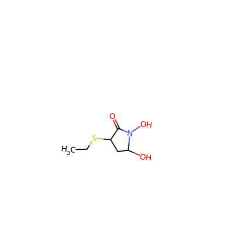 CCSC1CC(O)N(O)C1=O